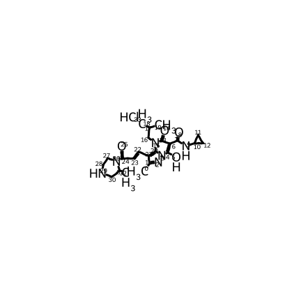 Cc1nn2c(O)c(C(=O)NC3CC3)c(=O)n(CC(C)C)c2c1C=CC(=O)N1CCNCC1C.Cl